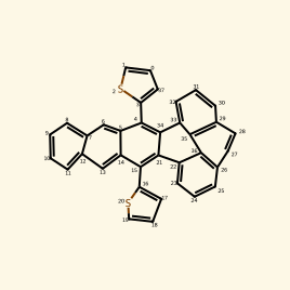 c1csc(-c2c3cc4ccccc4cc3c(-c3cccs3)c3c4cccc5ccc6cccc(c23)c6c54)c1